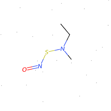 CCN(C)SN=O